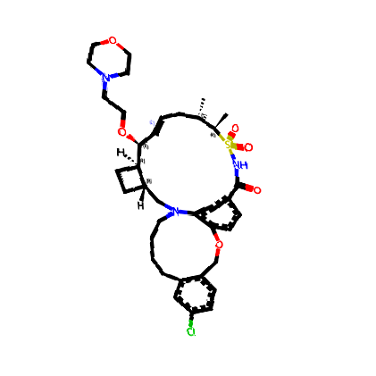 C[C@@H]1[C@@H](C)C/C=C/[C@H](OCCN2CCOCC2)[C@@H]2CC[C@H]2CN2CCCCc3cc(Cl)ccc3COc3ccc(cc32)C(=O)NS1(=O)=O